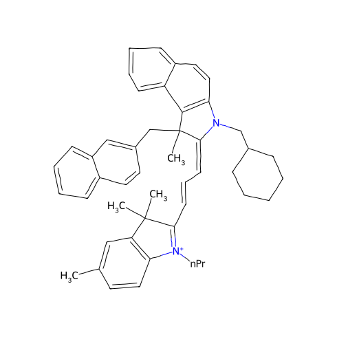 CCC[N+]1=C(/C=C/C=C2/N(CC3CCCCC3)c3ccc4ccccc4c3C2(C)Cc2ccc3ccccc3c2)C(C)(C)c2cc(C)ccc21